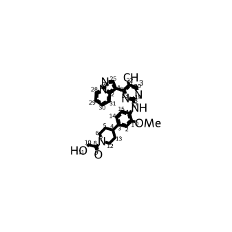 COc1cc(C2CCN(C(=O)CO)CC2)ccc1Nc1ncc(C)c(-c2cnn3ccccc23)n1